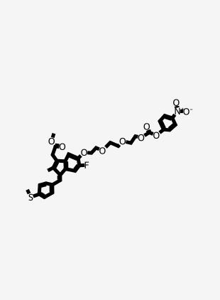 COC(=O)CC1=C(C)/C(=C\c2ccc(SC)cc2)c2cc(F)c(OCCOCCOCCOC(=O)Oc3ccc([N+](=O)[O-])cc3)cc21